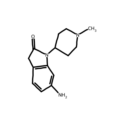 CN1CCC(N2C(=O)Cc3ccc(N)cc32)CC1